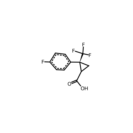 O=C(O)C1C[C@]1(c1ccc(F)cc1)C(F)(F)F